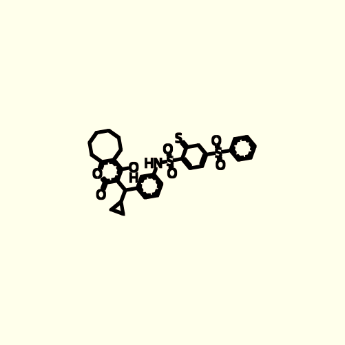 O=c1oc2c(c(O)c1C(c1cccc(NS(=O)(=O)C3=CC=C(S(=O)(=O)c4ccccc4)CC3=S)c1)C1CC1)CCCCCC2